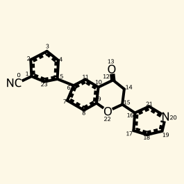 N#Cc1cccc(-c2ccc3c(c2)C(=O)CC(c2cccnc2)O3)c1